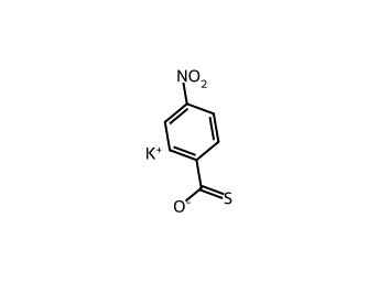 O=[N+]([O-])c1ccc(C([O-])=S)cc1.[K+]